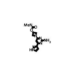 CNC(=O)OC1CN(c2cc(-c3cc[nH]n3)nc(N)n2)C1